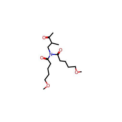 COCCCCC(=O)N(CC(C)C(C)=O)C(=O)CCCCOC